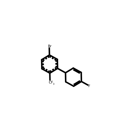 FC1=CCC(c2cc(Br)ccc2C(F)(F)F)C=C1